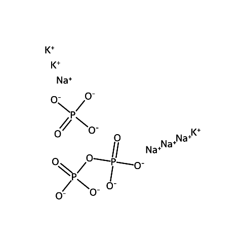 O=P([O-])([O-])OP(=O)([O-])[O-].O=P([O-])([O-])[O-].[K+].[K+].[K+].[Na+].[Na+].[Na+].[Na+]